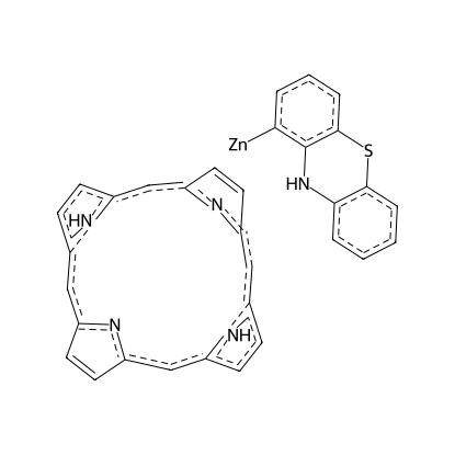 C1=Cc2cc3ccc(cc4nc(cc5ccc(cc1n2)[nH]5)C=C4)[nH]3.[Zn][c]1cccc2c1Nc1ccccc1S2